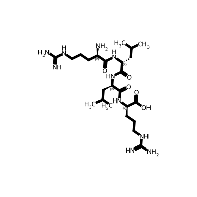 CC(C)C[C@@H](NC(=O)[C@H](N)CCCNC(=N)N)C(=O)N[C@H](CC(C)C)C(=O)N[C@H](CCCNC(=N)N)C(=O)O